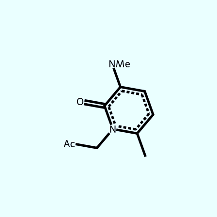 CNc1ccc(C)n(CC(C)=O)c1=O